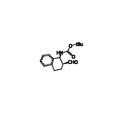 CC(C)(C)OC(=O)N[C@@H]1c2ccccc2CC[C@@H]1C=O